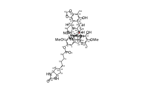 COc1cc2c(cc1OC(=O)CCCC[C@H]1CC3NC(=O)NC3S1)CCN[C@]21CS[C@@H]2c3c(O)c(C)c4c(c3[C@H](COC1=O)N1C2[C@@H]2c3c(cc(C)c(OC)c3O)C[C@@H]([C@@H]1C#N)N2C)OCO4